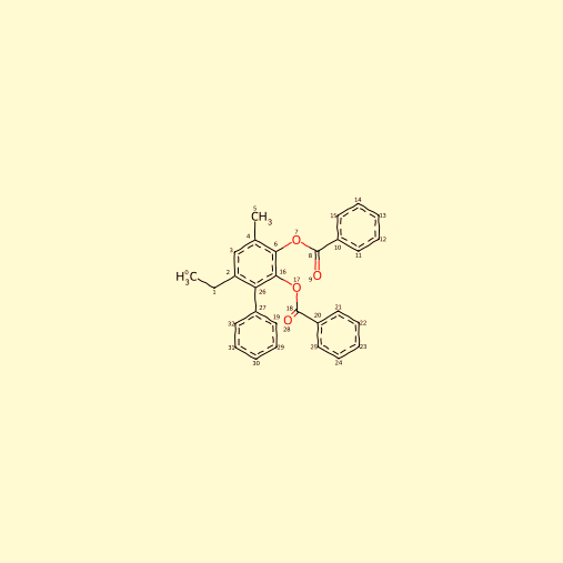 CCc1cc(C)c(OC(=O)c2ccccc2)c(OC(=O)c2ccccc2)c1-c1ccccc1